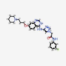 O=C(Cn1cc(Nc2ncnc3cc(OCCCN4CCCCC4)ccc23)nn1)Nc1cccc(F)c1